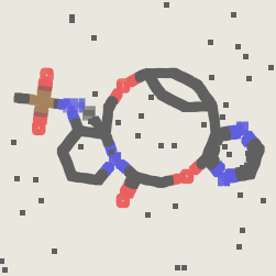 CS(=O)(=O)NC1CCCN2C(=O)COc3nccnc3C3CCC(CC3)OC[C@@H]12